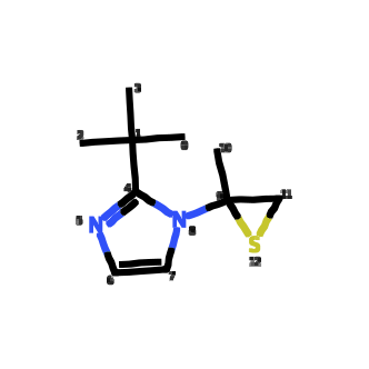 CC(C)(C)c1nccn1C1(C)CS1